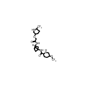 O=C(COC1CCC(C(F)(F)F)NC1)N[C@H]1CC2(NC(=O)C3CCC(OC(F)(F)F)CN3)CC1C2